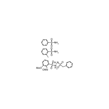 COc1cccc(S(N)(=O)=O)c1OC.Cc1ccccc1S(N)(=O)=O.NS(=O)(=O)Cc1ccccc1.NS(=O)(=O)c1ccccc1